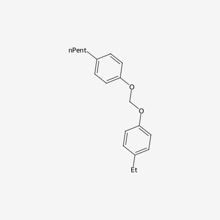 CCCCCc1ccc(OCOc2ccc(CC)cc2)cc1